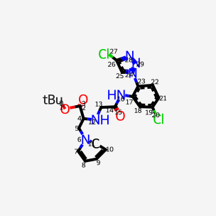 CC(C)(C)OC(=O)C(CN1C=CC=CC1)NCC(=O)Nc1cc(Cl)ccc1-n1cc(Cl)nn1